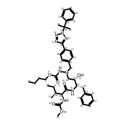 CCCCOC(=O)NN(Cc1ccc(-c2nnn(C(C)(C)c3ccccc3)n2)cc1)C[C@H](O)[C@H](Cc1ccccc1)NC(=O)[C@@H](NC(=O)OC)[C@@H](C)CC